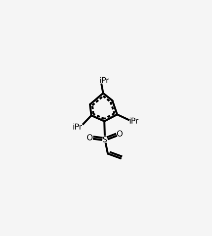 C=CS(=O)(=O)c1c(C(C)C)cc(C(C)C)cc1C(C)C